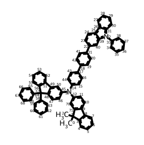 CC1(C)c2ccccc2-c2ccc(N(c3ccc(-c4ccc(-c5ccc6c7ccccc7n(-c7ccccc7)c6c5)cc4)cc3)c3ccc4c(c3)-c3ccccc3C4(c3ccccc3)c3ccccc3)cc21